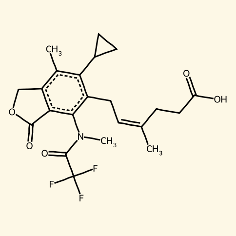 CC(=CCc1c(C2CC2)c(C)c2c(c1N(C)C(=O)C(F)(F)F)C(=O)OC2)CCC(=O)O